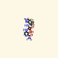 CCc1cn(C)nc1C(Nc1c(Nc2ccnc(C(=O)N(C)C)c2O)c(=O)c1=O)C1(C)CCC1